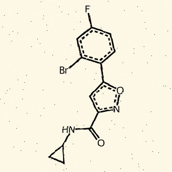 O=C(NC1CC1)c1cc(-c2ccc(F)cc2Br)on1